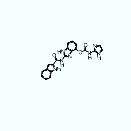 O=C(Nc1ncc[nH]1)Oc1cccc2[nH]c(NC(=O)c3cc4ccccc4[nH]3)nc12